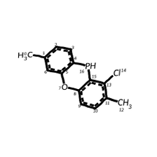 Cc1ccc2c(c1)Oc1ccc(C)c(Cl)c1P2